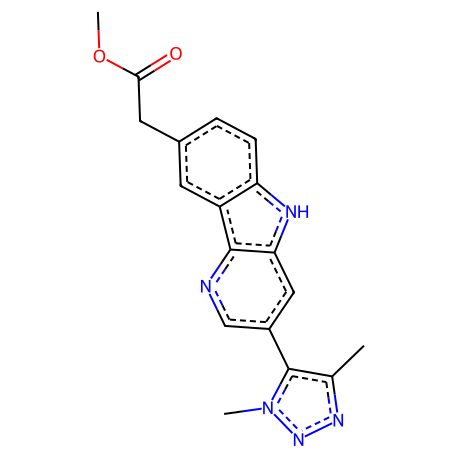 COC(=O)Cc1ccc2[nH]c3cc(-c4c(C)nnn4C)cnc3c2c1